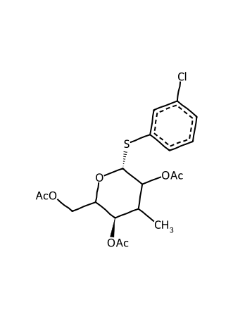 CC(=O)OCC1O[C@H](Sc2cccc(Cl)c2)C(OC(C)=O)C(C)[C@H]1OC(C)=O